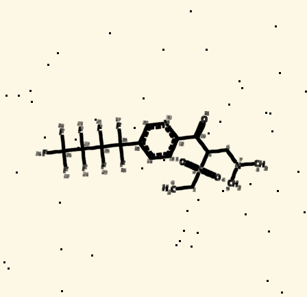 CCS(=O)(=O)C(CN(C)C)C(=O)c1ccc(C(F)(F)C(F)(F)C(F)(F)C(F)(F)F)cn1